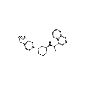 CCOC(=O)Cc1ccc([C@H]2CCC[C@H](N[C@H](C)c3cccc4ccccc34)C2)cc1